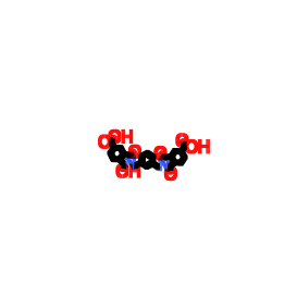 O=C(O)C1CCC2C(=O)N(Cc3cccc(CN4C(=O)C5CC(C(=O)O)CCC5C4O)c3)C(=O)C2C1